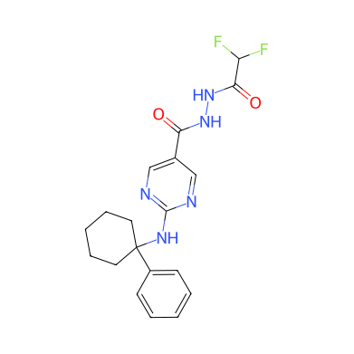 O=C(NNC(=O)C(F)F)c1cnc(NC2(c3ccccc3)CCCCC2)nc1